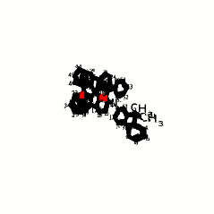 CC1(C)c2ccccc2-c2ccc(N(c3ccc4c(c3)C3(c5ccccc5-c5cccc(-c6ccccc6)c53)c3c(-c5ccccc5)cccc3-4)c3ccccc3-c3ccccc3)cc21